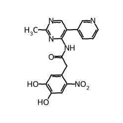 Cc1ncc(-c2cccnc2)c(NC(=O)Cc2cc(O)c(O)cc2[N+](=O)[O-])n1